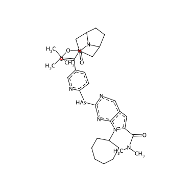 CN(C)C(=O)c1cc2cnc([AsH]c3ccc(C(=O)N4CC5CCC(C4)N5C(=O)OC(C)(C)C)cn3)nc2n1C1CCCCCC1